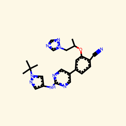 CC(Cn1cncn1)Oc1cc(-c2cnc(Nc3cnn(C(C)(C)C)c3)nc2)ccc1C#N